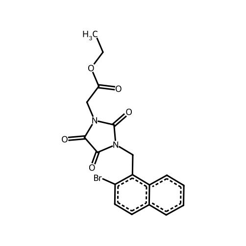 CCOC(=O)CN1C(=O)C(=O)N(Cc2c(Br)ccc3ccccc23)C1=O